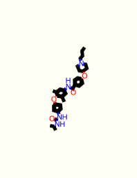 CCCCN1CCC(Oc2ccc(C(=O)Nc3cc(C)c(Oc4ccc(NC(=O)NC(C)C)cc4)c(C)c3)cc2)CC1